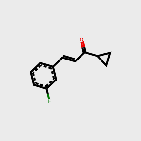 O=C(C=Cc1cccc(F)c1)C1CC1